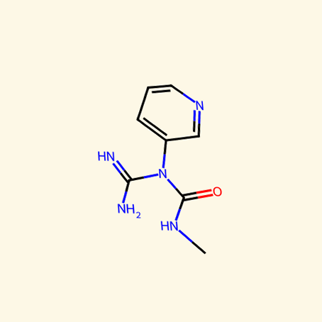 CNC(=O)N(C(=N)N)c1cccnc1